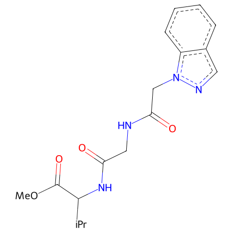 COC(=O)C(NC(=O)CNC(=O)Cn1ncc2ccccc21)C(C)C